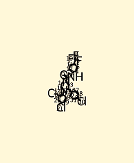 O=C(Nc1ccc(C(F)(F)F)cc1)N1CCN(c2ccc(Cl)cc2Cl)C(c2ccc(Cl)cc2)C1